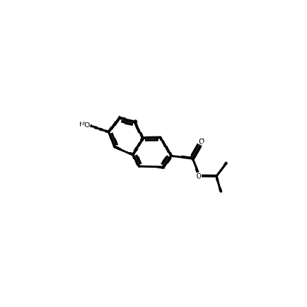 CC(C)OC(=O)c1ccc2cc(O)ccc2c1